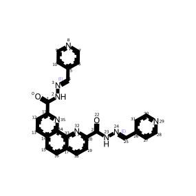 O=C(N/N=C/c1ccncc1)c1ccc2ccc3ccc(C(=O)N/N=C/c4ccncc4)nc3c2n1